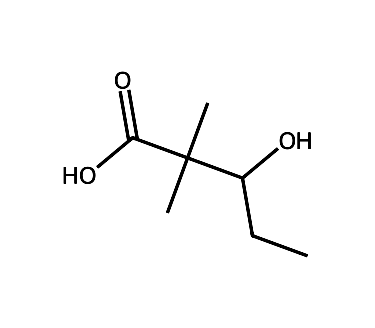 CCC(O)C(C)(C)C(=O)O